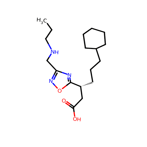 CCCNCc1noc([C@H](CCCC2CCCCC2)CC(=O)O)n1